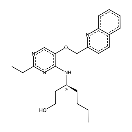 CCCC[C@@H](CCO)Nc1nc(CC)ncc1OCc1ccc2ccccc2n1